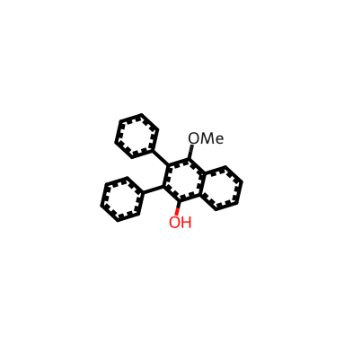 COc1c(-c2ccccc2)c(-c2ccccc2)c(O)c2ccccc12